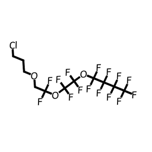 FC(F)(COCCCCl)OC(F)(F)C(F)(F)OC(F)(F)C(F)(F)C(F)(F)C(F)(F)F